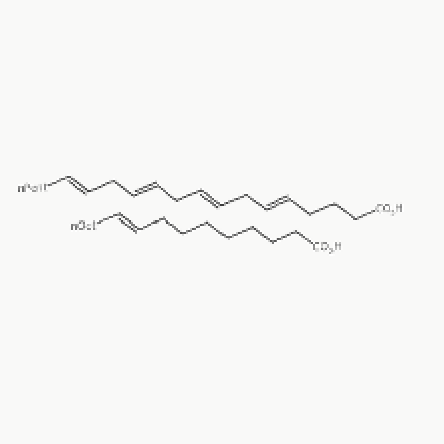 CCCCCC=CCC=CCC=CCC=CCCCC(=O)O.CCCCCCCCC=CCCCCCCCC(=O)O